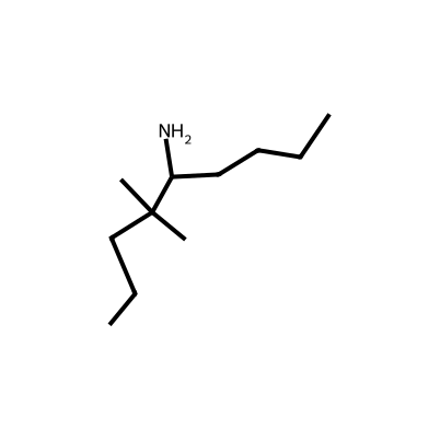 CCCCC(N)C(C)(C)CCC